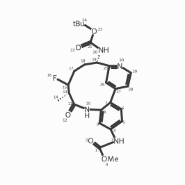 COC(=O)Nc1ccc2c(c1)NC(=O)[C@H](C)C(F)CC[C@H](NC(=O)OC(C)(C)C)c1cc-2ccn1